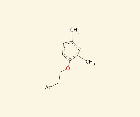 CC(=O)CCOc1ccc(C)cc1C